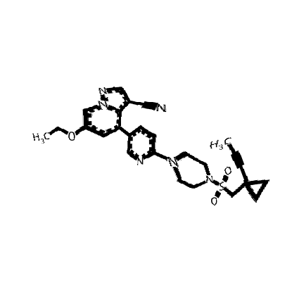 CC#CC1(CS(=O)(=O)N2CCN(c3ccc(-c4cc(OCC)cn5ncc(C#N)c45)cn3)CC2)CC1